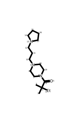 CCC(C)(C)C(=O)N1CCN(CCCN2CCCC2)CC1